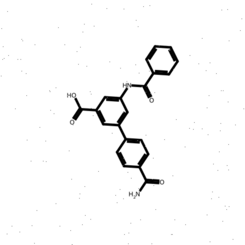 NC(=O)c1ccc(-c2cc(NC(=O)c3ccccc3)cc(C(=O)O)c2)cc1